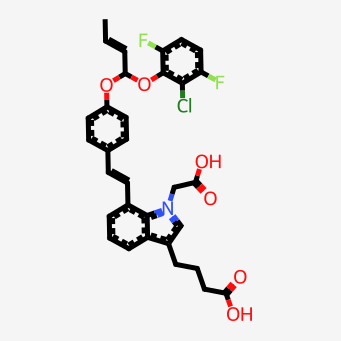 CC=CC(Oc1ccc(C=Cc2cccc3c(CCCC(=O)O)cn(CC(=O)O)c23)cc1)Oc1c(F)ccc(F)c1Cl